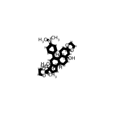 CN(C)c1ccc(C2=C3[C@@H](CC[C@@]4(O)CC5(CC[C@H]34)OCCO5)[C@@H]3CC[C@](O)(C4(C)OCCO4)[C@@]3(C)C2)cc1